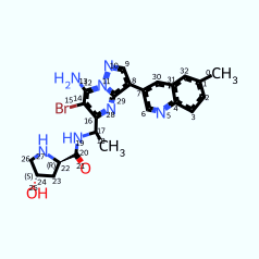 Cc1ccc2ncc(-c3cnn4c(N)c(Br)c(C(C)NC(=O)[C@H]5C[C@H](O)CN5)nc34)cc2c1